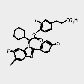 O=C(O)CCc1ccc(NC(=O)C(C2CCCCC2)n2c(-c3ccc(Cl)cc3)nc3cc(F)c(F)cc32)c(F)c1